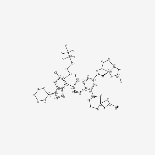 CC(C)(C)[Si](C)(C)OCCc1c(Cl)cc2c(cnn2[C@@H]2CCCCO2)c1-c1ncc2c(N3CCCC4(CC(O)C4)C3)nc(OC[C@@]34CCCN3C[C@H](F)C4)nc2c1F